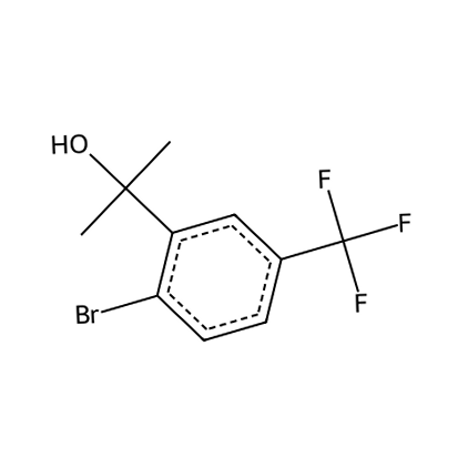 CC(C)(O)c1cc(C(F)(F)F)ccc1Br